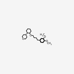 COc1ccc(CCCCOC2CCCCC2N2CCOCC2)cc1OC